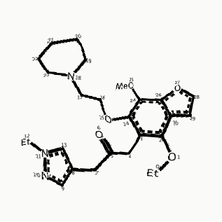 CCOc1c(CC(=O)Cc2cnn(CC)c2)c(OCCN2CCCCC2)c(OC)c2occc12